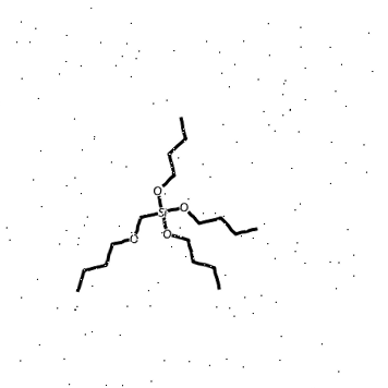 CCCCOC[Si](OCCCC)(OCCCC)OCCCC